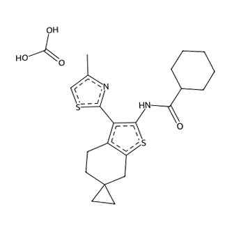 Cc1csc(-c2c(NC(=O)C3CCCCC3)sc3c2CCC2(CC2)C3)n1.O=C(O)O